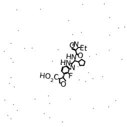 CCc1nocc1C(=O)NC(c1nc2c(F)c(C3COCC3C(=O)O)ccc2[nH]1)C1CCCC1